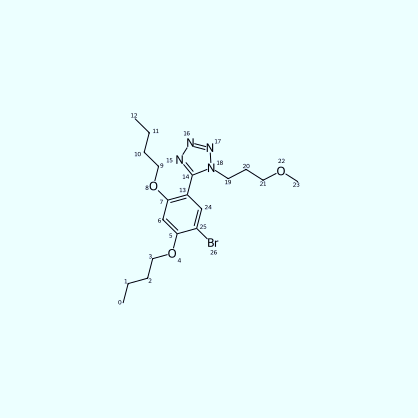 CCCCOc1cc(OCCCC)c(-c2nnnn2CCCOC)cc1Br